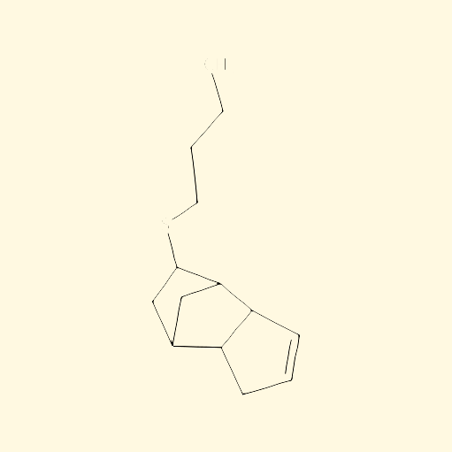 CCCCSC1CC2CC1C1C=CCC21